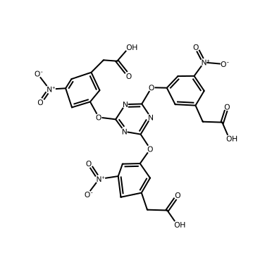 O=C(O)Cc1cc(Oc2nc(Oc3cc(CC(=O)O)cc([N+](=O)[O-])c3)nc(Oc3cc(CC(=O)O)cc([N+](=O)[O-])c3)n2)cc([N+](=O)[O-])c1